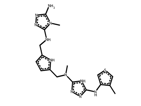 Cc1cscc1Nc1nnc(N(C)Cc2ccc(CNc3nnc(N)n3C)[nH]2)[nH]1